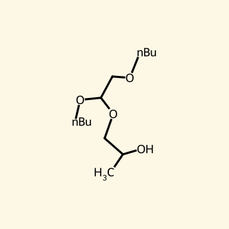 CCCCOCC(OCCCC)OCC(C)O